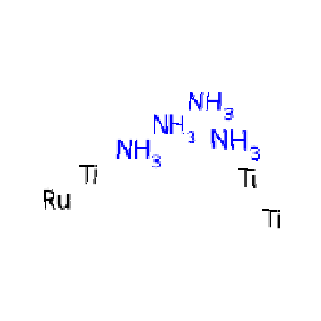 N.N.N.N.[Ru].[Ti].[Ti].[Ti]